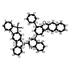 CC1(C)c2ccccc2-c2cc3c4ccccc4n(-c4nc(-c5cc(-c6ccccc6)c6oc7cc8ccccc8cc7c6c5)c5ccccc5n4)c3cc21